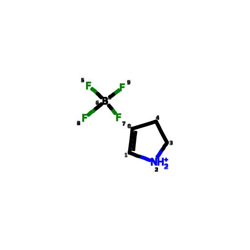 C1=C[NH2+]CC1.F[B-](F)(F)F